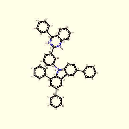 c1ccc(-c2ccc3c(c2)c2cc(-c4ccccc4)cc(-c4ccccc4)c2n3-c2cccc(-c3nc(-c4ccccc4)c4ccccc4n3)c2)cc1